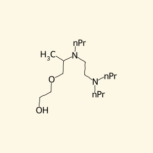 CCCN(CCC)CCN(CCC)C(C)COCCO